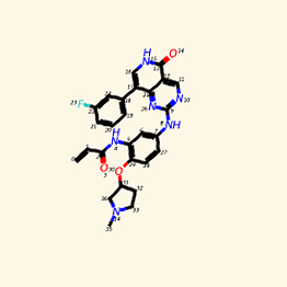 C=CC(=O)Nc1cc(Nc2ncc3c(=O)[nH]cc(-c4cccc(F)c4)c3n2)ccc1OC1CCN(C)C1